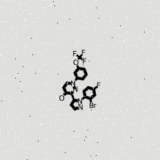 O=c1ccn(-c2cccc(OC(F)(F)F)c2)nc1-c1ccnn1-c1ccc(F)cc1Br